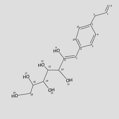 C=CCc1ccc(C=C(O)C(O)C(O)C(O)C(O)CO)cc1